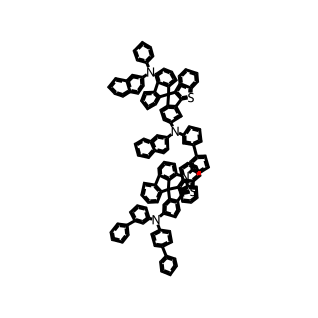 c1ccc(-c2ccc(N(c3cccc(-c4ccccc4)c3)c3ccc4c(c3)C3(c5ccccc5-c5cccc(N(c6ccccc6)c6cccc(-c7cccc(N(c8ccc9c(c8)-c8sc%10ccccc%10c8C98c9ccccc9-c9c(N(c%10ccccc%10)c%10ccc%11ccccc%11c%10)cccc98)c8ccc9ccccc9c8)c7)c6)c53)c3c-4sc4ccccc34)cc2)cc1